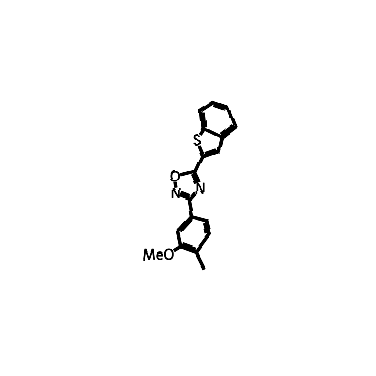 COc1cc(-c2noc(-c3cc4ccccc4s3)n2)ccc1C